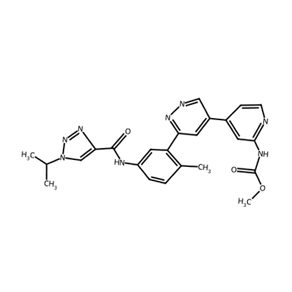 COC(=O)Nc1cc(-c2cnnc(-c3cc(NC(=O)c4cn(C(C)C)nn4)ccc3C)c2)ccn1